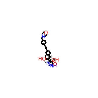 CC(C)(O)C(Cc1ccc(C#Cc2ccc(CN3CCOCC3)cc2)cc1)c1nc[nH]c(=O)c1O